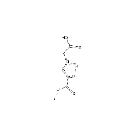 COC(=O)c1ccn(CC(=O)O)c1